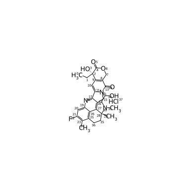 CC[C@@]1(O)C(=O)OCc2c1cc1n(c2=O)Cc2c-1nc1cc(F)c(C)c3c1c2[C@](C)(N(C)CCO)CC3.Cl